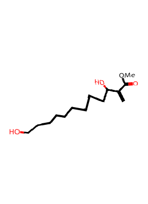 C=C(C(=O)OC)C(O)CCCCCCCCCO